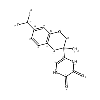 CC1(c2c[nH]c(=O)c(=O)[nH]2)COc2cc(C(F)F)ccc2S1